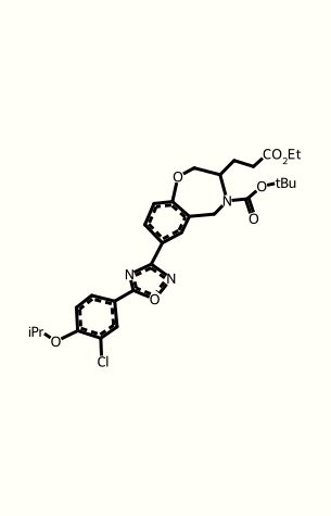 CCOC(=O)CCC1COc2ccc(-c3noc(-c4ccc(OC(C)C)c(Cl)c4)n3)cc2CN1C(=O)OC(C)(C)C